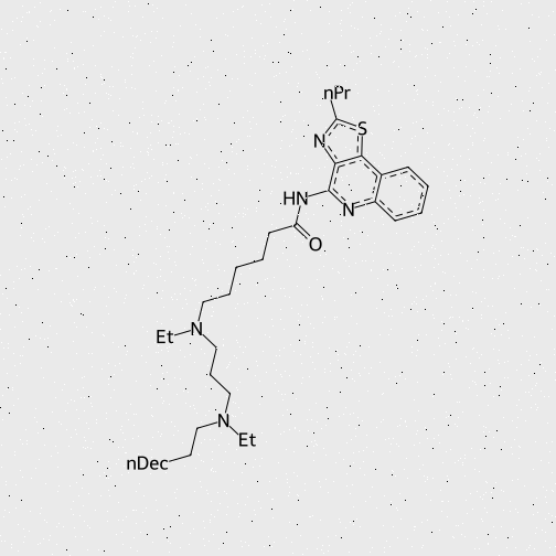 CCCCCCCCCCCCN(CC)CCCN(CC)CCCCCC(=O)Nc1nc2ccccc2c2sc(CCC)nc12